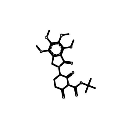 COc1c2c(c(OC)c(OC)c1OC)C(=O)N(C1CCC(=O)N(C(=O)OC(C)(C)C)C1=O)C2